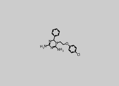 NC1=NC(c2ccccc2)N(CCOc2ccc(Cl)cc2)C(N)=N1